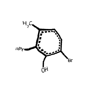 CCCc1c(C)ccc(Br)c1O